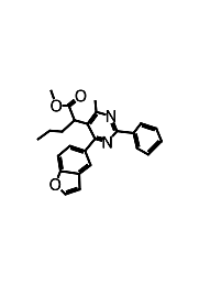 CCCC(C(=O)OC)c1c(C)nc(-c2ccccc2)nc1-c1ccc2occc2c1